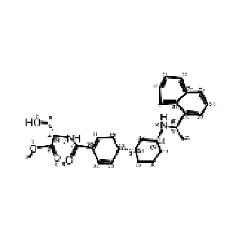 COC(=O)[C@H](CO)NC(=O)C1=CCC([C@H]2CCC[C@H](N[C@H](C)c3cccc4ccccc34)C2)C=C1